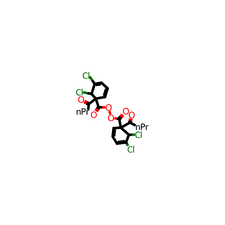 CCCC(=O)C1(C(=O)OOC(=O)C2(C(=O)CCC)C=CC=C(Cl)C2Cl)C=CC=C(Cl)C1Cl